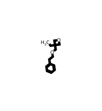 CCC1(COCCc2ccccc2)COC1